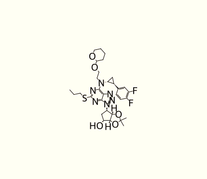 CCCSc1nc(N(CCOC2CCCCO2)[C@@H]2C[C@H]2c2ccc(F)c(F)c2)c2nnn([C@@H]3C[C@H](O)[C@H]4OC(C)(C)O[C@H]43)c2n1